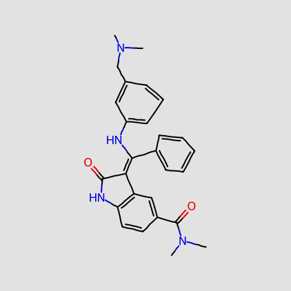 CN(C)Cc1cccc(N/C(=C2\C(=O)Nc3ccc(C(=O)N(C)C)cc32)c2ccccc2)c1